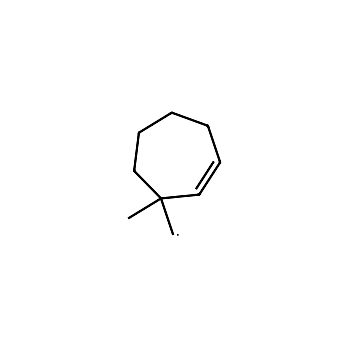 [CH2]C1(C)C=CCCCC1